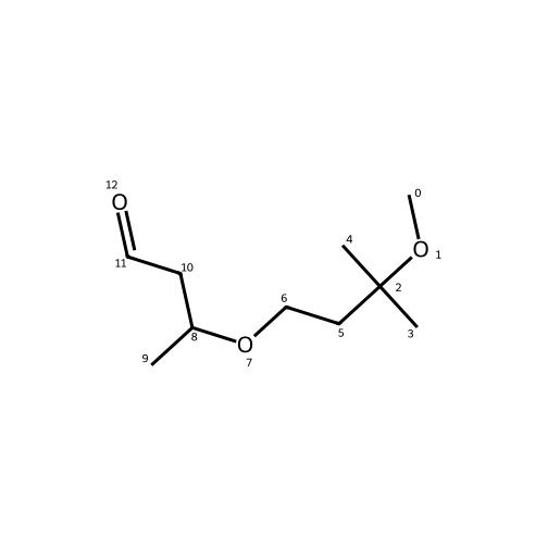 COC(C)(C)CCOC(C)CC=O